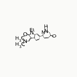 CCN1C(=O)C(=CN(C)C)c2ccc(C3=NNCC(=O)C=C3)cc21